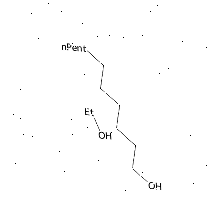 CCCCCCCCCCCO.CCO